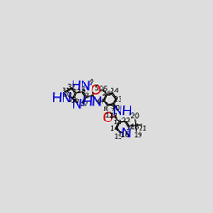 CNc1c(C(=O)Nc2cc(NC(=O)c3ccnc(C(C)(C)C)c3)ccc2C)cnc2[nH]ccc12